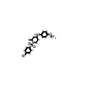 CC1CC(Nc2ccc(OC(F)(F)F)cc2)CCN1S(=O)(=O)c1ccc(Br)cc1